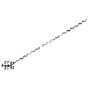 CCCCCCCCCCCCCCCCCCCCCCCCCCCCCCCCCCCCCCOC(=O)C(F)(F)C(F)(F)F